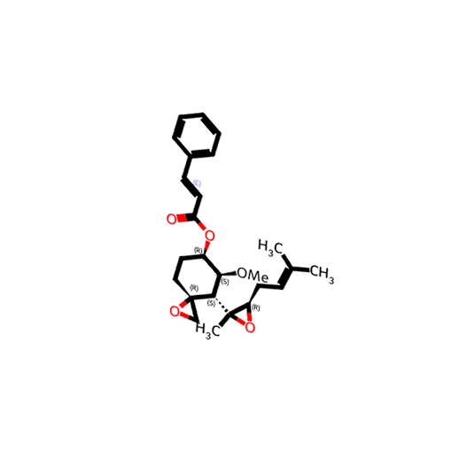 CO[C@H]1[C@H](C2(C)O[C@@H]2CC=C(C)C)[C@]2(CC[C@H]1OC(=O)/C=C/c1ccccc1)CO2